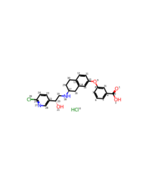 Cl.O=C(O)c1cccc(Oc2ccc3c(c2)C[C@@H](NC[C@H](O)c2ccc(Cl)nc2)CC3)c1